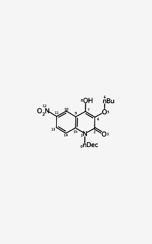 CCCCCCCCCCn1c(=O)c(OCCCC)c(O)c2cc([N+](=O)[O-])ccc21